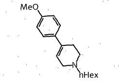 [CH2]CCCCCN1CC=C(c2ccc(OC)cc2)CC1